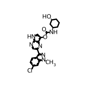 Cn1nc(-c2cnc3[nH]cc(OC(=O)N[C@@H]4CCC[C@@H](O)C4)c3n2)c2ccc(Cl)cc21